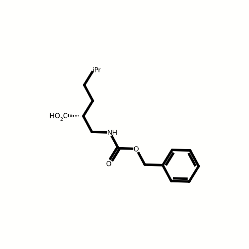 CC(C)CC[C@H](CNC(=O)OCc1ccccc1)C(=O)O